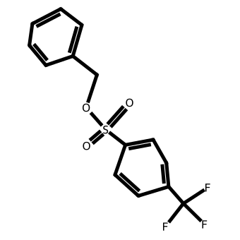 O=S(=O)(OCc1ccccc1)c1ccc(C(F)(F)F)cc1